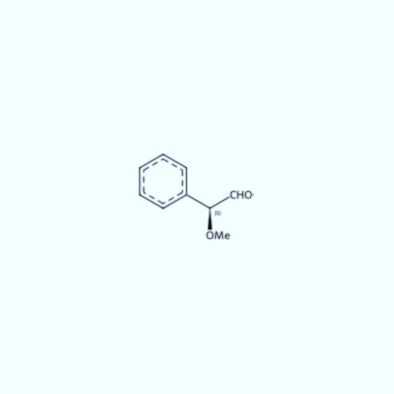 CO[C@H]([C]=O)c1ccccc1